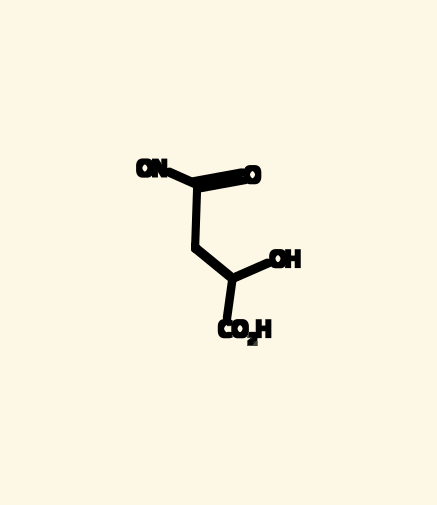 O=NC(=O)CC(O)C(=O)O